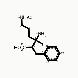 CC(=O)NCCCC(C)(N)C(Cc1ccccc1)C(=O)O